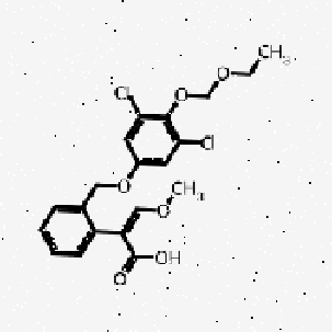 CCOCOc1c(Cl)cc(OCc2ccccc2C(=COC)C(=O)O)cc1Cl